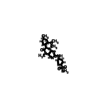 COC1=C(C2C(=O)N(C)c3cnc(Nc4ccc(S(N)(=O)=O)cc4)nc3N2C)C=CC(C)C1